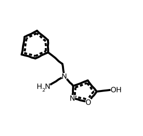 NN(Cc1ccccc1)c1cc(O)on1